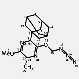 COC1=N[C@@H](C23CC4CC(CC(C4)C2)C3)C(OCN=[N+]=[N-])=N[C@@H]1C